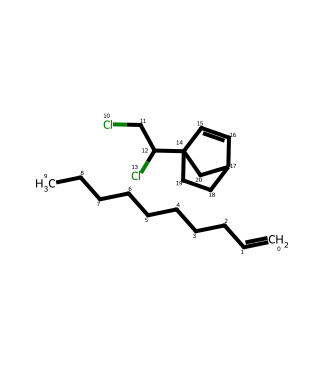 C=CCCCCCCCC.ClCC(Cl)C12C=CC(CC1)C2